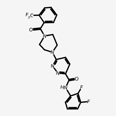 O=C(Nc1cccc(F)c1F)c1ccc(N2CCN(C(=O)c3ccccc3C(F)(F)F)CC2)nn1